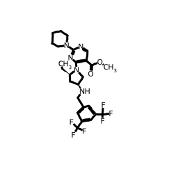 CC[C@@H]1C[C@H](NCc2cc(C(F)(F)F)cc(C(F)(F)F)c2)CN1c1nc(N2CCCCC2)ncc1C(=O)OC